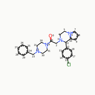 O=C(CN1CCn2cccc2C1c1ccc(Cl)cc1)N1CCN(Cc2ccccc2)CC1